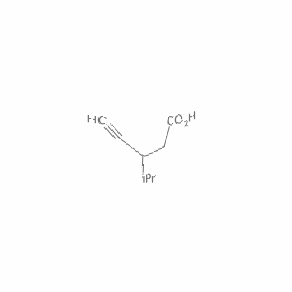 C#CC(CC(=O)O)C(C)C